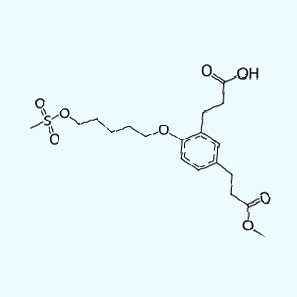 COC(=O)CCc1ccc(OCCCCCOS(C)(=O)=O)c(CCC(=O)O)c1